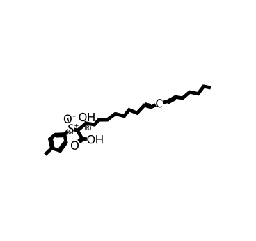 CCCCCC=CCC=CCCCCCCC[C@@H](O)C(C(=O)O)[S@@+]([O-])c1ccc(C)cc1